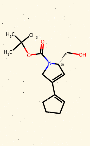 CC(C)(C)OC(=O)N1CC(C2=CCCC2)=C[C@H]1CO